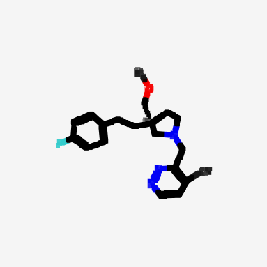 CCOC[C@]1(CCc2ccc(F)cc2)CCN(Cc2nnccc2C#N)C1